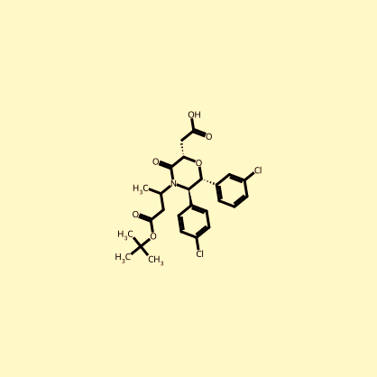 CC(CC(=O)OC(C)(C)C)N1C(=O)[C@H](CC(=O)O)O[C@H](c2cccc(Cl)c2)[C@H]1c1ccc(Cl)cc1